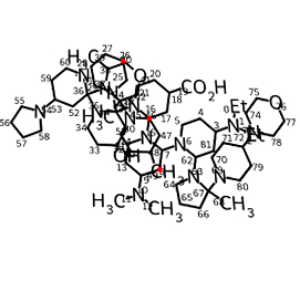 CCN(CC)C1CCN(C2CC(N(C)C)CCN2C2CC(C(=O)O)CCN2C2(N3CCCCC3)CC(O)CCN2C2(N3C(C)COCC3(C)N3CCC(C)CC3)CC(N3CCCC3)CC[N]2)C(N2CCCC2(C)N2CCC(N3CCOCC3)CC2)C1